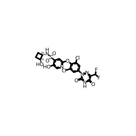 O=c1[nH]c(=O)n(-c2cc(Cl)c(Oc3cc(S(=O)(=O)N[C@H]4CC[C@@H]4O)c(O)cn3)c(Cl)c2)nc1C(F)F